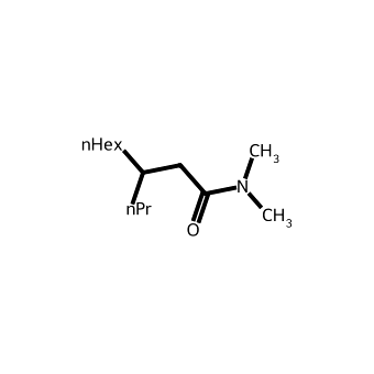 CCCCCCC(CCC)CC(=O)N(C)C